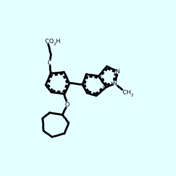 Cn1ncc2cc(-c3cc(CCC(=O)O)ccc3OC3CCCCCC3)ccc21